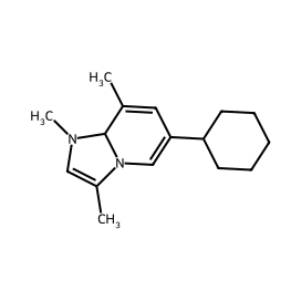 CC1=CC(C2CCCCC2)=CN2C(C)=CN(C)C12